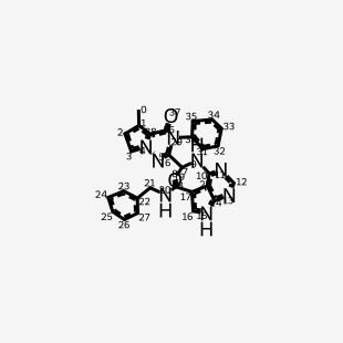 Cc1ccn2nc(C(C)Nc3ncnc4[nH]cc(C(=O)NCc5ccccc5)c34)n(-c3ccccc3)c(=O)c12